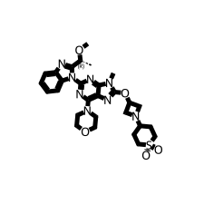 CO[C@H](C)c1nc2ccccc2n1-c1nc(N2CCOCC2)c2nc(OC3CN(C4CCS(=O)(=O)CC4)C3)n(C)c2n1